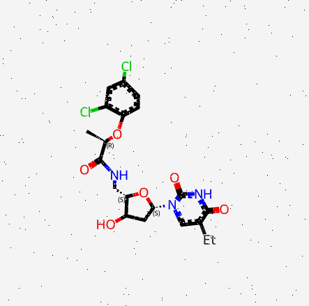 CCc1cn([C@@H]2CC(O)[C@H](CNC(=O)[C@@H](C)Oc3ccc(Cl)cc3Cl)O2)c(=O)[nH]c1=O